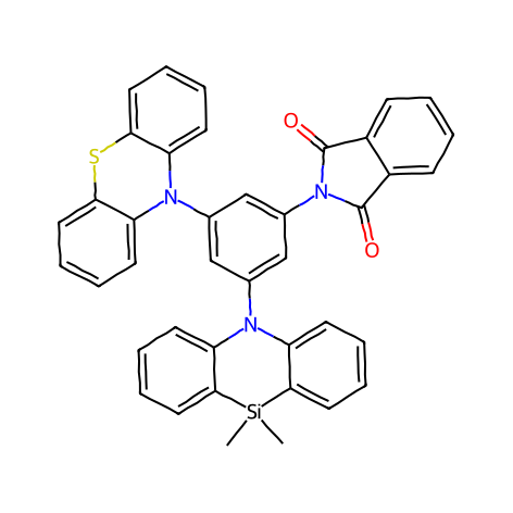 C[Si]1(C)c2ccccc2N(c2cc(N3C(=O)c4ccccc4C3=O)cc(N3c4ccccc4Sc4ccccc43)c2)c2ccccc21